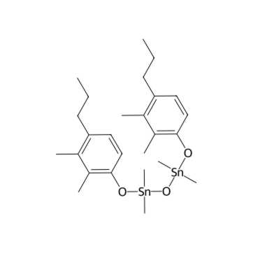 CCCc1ccc([O][Sn]([CH3])([CH3])[O][Sn]([CH3])([CH3])[O]c2ccc(CCC)c(C)c2C)c(C)c1C